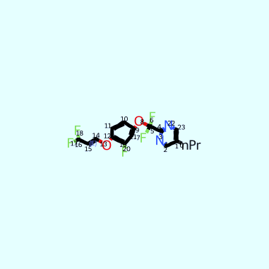 CCCc1cnc(C(F)(F)Oc2ccc(O/C=C/C(F)F)c(F)c2)nc1